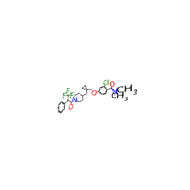 CN(C)C(=O)c1ccc(OCC2(CC3CCN(C(=O)C(c4ccccc4)C(F)(F)F)CC3)CC2)cc1Cl